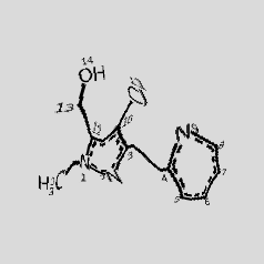 Cn1nc(-c2ccccn2)c(Cl)c1CO